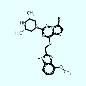 COc1cccc2[nH]c(CNc3nc(N4C[C@@H](C)N[C@@H](C)C4)nn4c(Br)cnc34)nc12